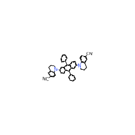 N#Cc1ccc2c(c1)CCCN2c1ccc2c(-c3ccccc3)c3cc(N4CCCc5cc(C#N)ccc54)ccc3c(-c3ccccc3)c2c1